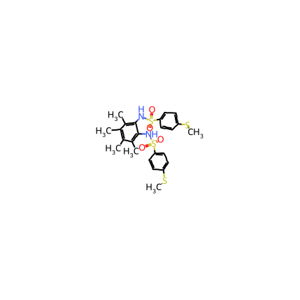 CSc1ccc(S(=O)(=O)Nc2c(C)c(C)c(C)c(C)c2NS(=O)(=O)c2ccc(SC)cc2)cc1